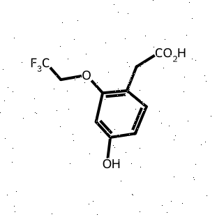 O=C(O)Cc1ccc(O)cc1OCC(F)(F)F